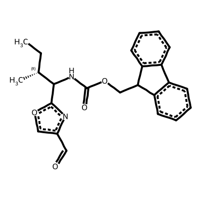 CC[C@@H](C)C(NC(=O)OCC1c2ccccc2-c2ccccc21)c1nc(C=O)co1